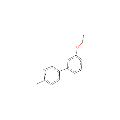 CCOc1cccc(-c2ccc(C)cc2)c1